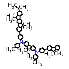 CCC(C)c1ccc2c(c1)C(C)(C)c1cc3c(cc1-2)C(C)(C)c1cc(-c2ccc(N(c4ccc(C)cc4)c4ccc5c(c4)C(C)(C)c4cc(N(c6ccc(C)cc6)c6ccc(-c7ccc8c(c7)C(C)(C)c7ccccc7-8)cc6)ccc4-5)cc2)ccc1-3